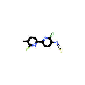 Cc1ccc(-c2ccc(N=C=S)c(Cl)n2)nc1F